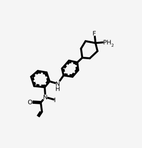 C=CC(=O)N(I)c1ccccc1Nc1ccc(C2CCC(F)(P)CC2)cc1